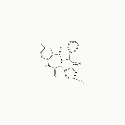 O=C(O)C(c1ccccc1)N1C(=O)c2cc(I)ccc2NC(=O)C1c1ccc(C(F)(F)F)cc1